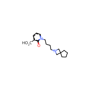 O=C(O)c1cccn(CCCCN2CC3(CCCC3)C2)c1=O